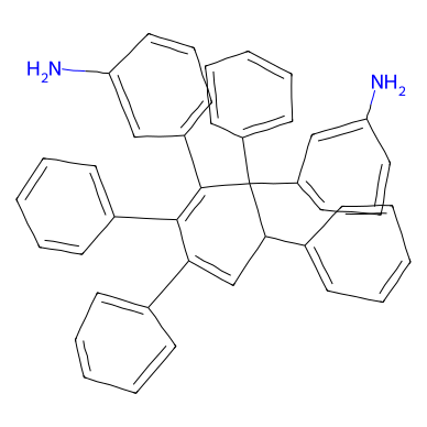 Nc1cccc(C2=C(c3ccccc3)C(c3ccccc3)=CC(c3ccccc3)C2(c2ccccc2)c2cccc(N)c2)c1